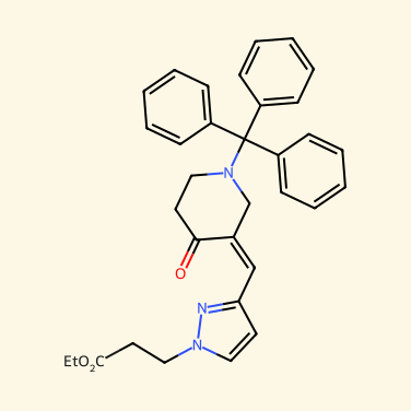 CCOC(=O)CCn1ccc(C=C2CN(C(c3ccccc3)(c3ccccc3)c3ccccc3)CCC2=O)n1